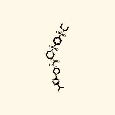 CCN(CC)S(=O)(=O)c1ccc(S(=O)(=O)N2CCC[C@@H](C(=O)N[C@@H]3CCN(c4nc(C(C)C)no4)C3)C2)cc1